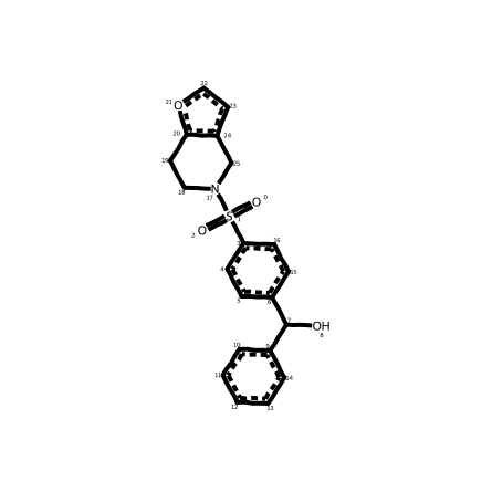 O=S(=O)(c1ccc(C(O)c2ccccc2)cc1)N1CCc2occc2C1